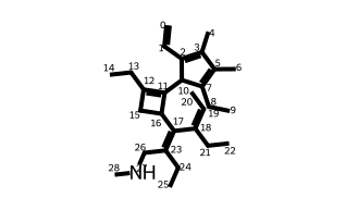 C=CC1=C(C)C(C)=C(CC)C1C1=C(CC)CC1C(/C(=C\C)CC)=C(/CC)CNC